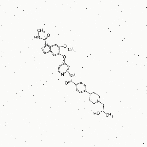 CNC(=O)n1ccc2cc(Oc3ccnc(NC(=O)c4ccc(C5CCN(CC(C)O)CC5)cc4)c3)c(OC)cc21